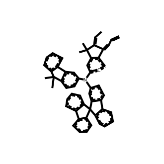 C=C/C=C1\C(=C/C)C(C)(C)c2cc(N(c3ccc4c(c3)-c3ccccc3C4(C)C)c3ccc4c(c3)C3(c5ccccc5-c5ccccc53)c3ccccc3-4)ccc21